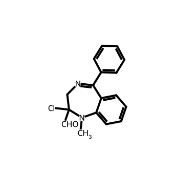 CN1c2ccccc2C(c2ccccc2)=NCC1(Cl)C=O